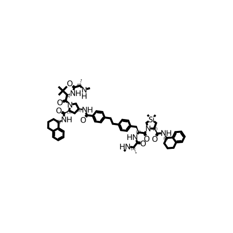 CN[C@@H](C)C(=O)N[C@@H](Cc1ccc(CCc2ccc(C(=O)N[C@H]3C[C@@H](C(=O)N[C@@H]4CCCc5ccccc54)N(C(=O)[C@@H](NC(=O)[C@H](C)NC)C(C)(C)C)C3)cc2)cc1)C(=O)N1C[Si](C)(C)C[C@H]1C(=O)N[C@@H]1CCCc2ccccc21